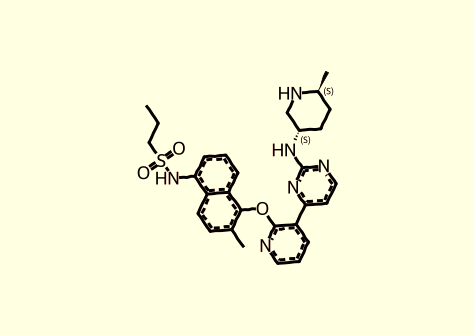 CCCS(=O)(=O)Nc1cccc2c(Oc3ncccc3-c3ccnc(N[C@H]4CC[C@H](C)NC4)n3)c(C)ccc12